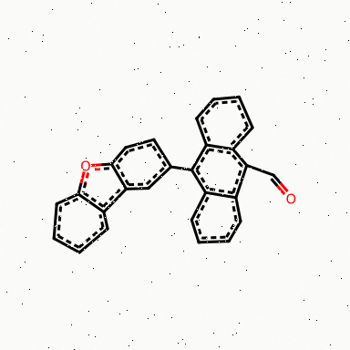 O=Cc1c2ccccc2c(-c2ccc3oc4ccccc4c3c2)c2ccccc12